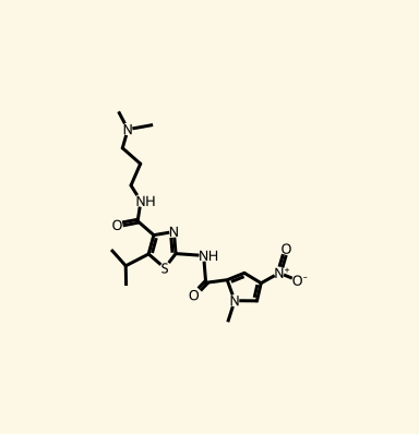 CC(C)c1sc(NC(=O)c2cc([N+](=O)[O-])cn2C)nc1C(=O)NCCCN(C)C